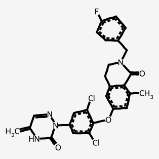 C=C1C=NN(c2cc(Cl)c(Oc3cc(C)c4c(c3)CCN(Cc3ccc(F)cc3)C4=O)c(Cl)c2)C(=O)N1